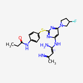 CCC(=O)Nc1ccc(Sc2nc(N/C(N)=C/C(C)=N)cc(N3CCC(F)C3)n2)cc1